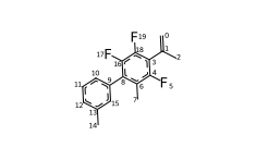 C=C(C)c1c(F)c(C)c(-c2cccc(C)c2)c(F)c1F